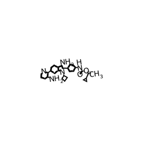 C[C@@H](OC(=O)Nc1ccc(-c2c(N)c3ccc(-c4ncccc4N)cc3n2C2CCC2)cc1)C1CC1